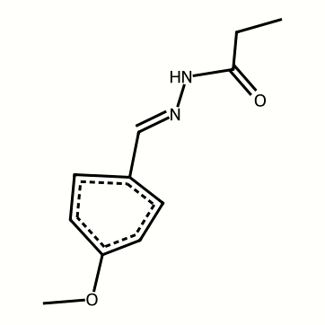 CCC(=O)NN=Cc1ccc(OC)cc1